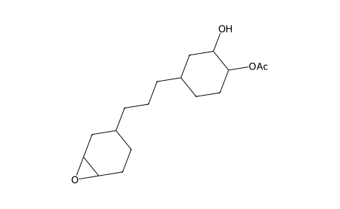 CC(=O)OC1CCC(CCCC2CCC3OC3C2)CC1O